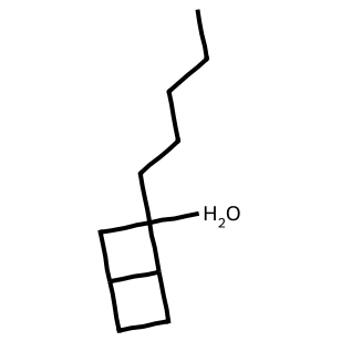 CCCCCC1(C)CC2CCC21.O